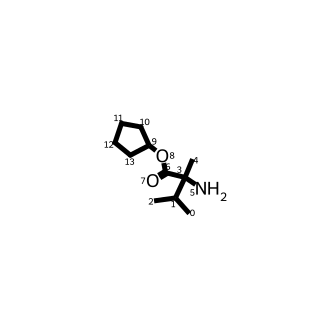 CC(C)C(C)(N)C(=O)OC1CCCC1